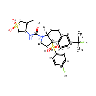 CC1CS(=O)(=O)CC1NC(=O)N1CC[C@@]2(S(=O)(=O)c3ccc(F)cc3)c3ccc(C(F)(C(F)(F)F)C(F)(F)F)cc3CC[C@@H]12